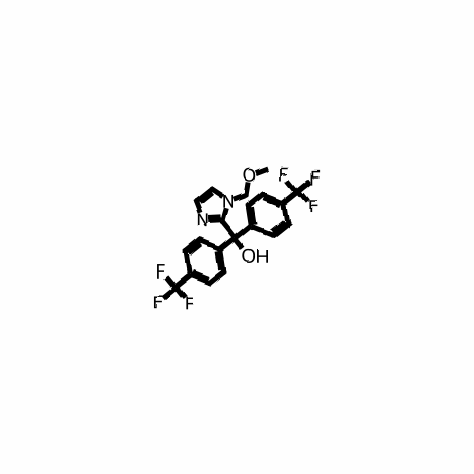 COCn1ccnc1C(O)(c1ccc(C(F)(F)F)cc1)c1ccc(C(F)(F)F)cc1